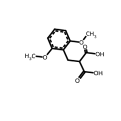 COc1cccc(OC)c1CC(C(=O)O)C(=O)O